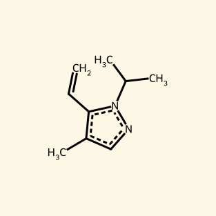 C=Cc1c(C)cnn1C(C)C